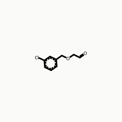 O=[C]COCc1cccc(Cl)c1